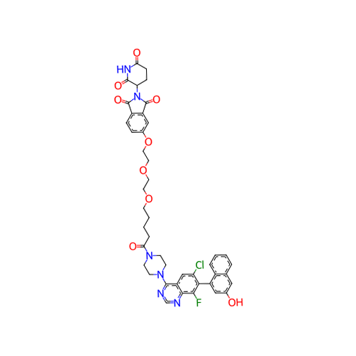 O=C1CCC(N2C(=O)c3ccc(OCCOCCOCCCCC(=O)N4CCN(c5ncnc6c(F)c(-c7cc(O)cc8ccccc78)c(Cl)cc56)CC4)cc3C2=O)C(=O)N1